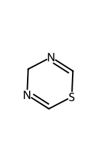 C1=NCN=CS1